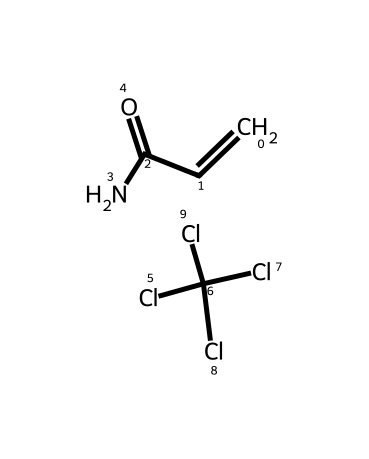 C=CC(N)=O.ClC(Cl)(Cl)Cl